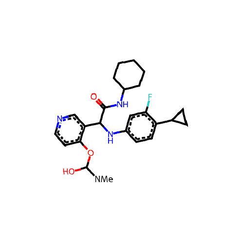 CNC(O)Oc1ccncc1C(Nc1ccc(C2CC2)c(F)c1)C(=O)NC1CCCCC1